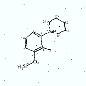 Cc1c(O[SiH3])cccc1[SiH]1CCCCO1